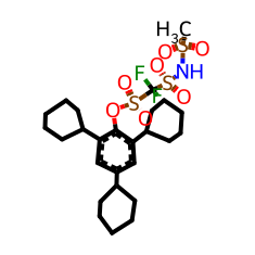 CS(=O)(=O)NS(=O)(=O)C(F)(F)S(=O)(=O)Oc1c(C2CCCCC2)cc(C2CCCCC2)cc1C1CCCCC1